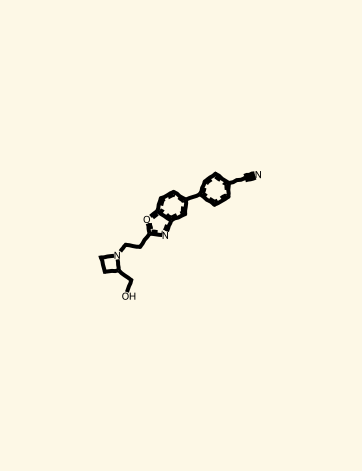 N#Cc1ccc(-c2ccc3oc(CCN4CCC4CO)nc3c2)cc1